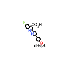 CCCCCCCOc1ccc(-c2ccc(-c3cc(C(=O)O)c4cc(F)ccc4n3)nc2)cc1